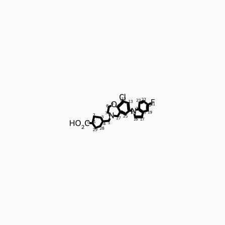 O=C(O)C1CCC(CN2CCOc3c(Cl)cc(-n4ccc5cc(F)ccc54)cc3C2)CC1